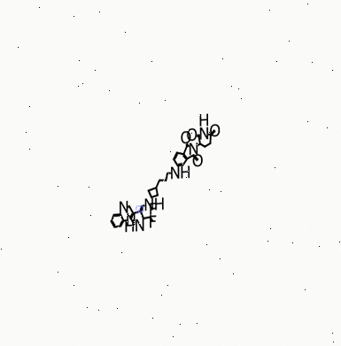 N=C(/C(=C\NC1CC(CCCNc2ccc3c(c2)C(=O)N(C2CCC(=O)NC2=O)C3=O)C1)c1cnc2ccccc2n1)C(F)F